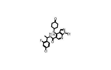 CCn1ncc2c(NC3CCC(=O)CC3)c(C(=O)NC(C)c3ccc(Cl)cc3F)cnc21